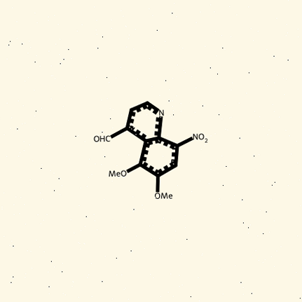 COc1cc([N+](=O)[O-])c2nccc(C=O)c2c1OC